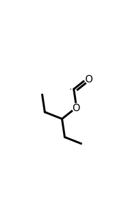 CCC(CC)O[C]=O